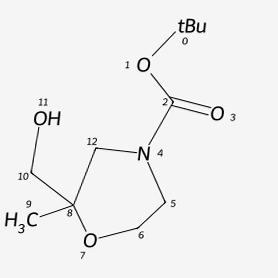 CC(C)(C)OC(=O)N1CCOC(C)(CO)C1